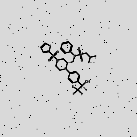 CC(C)CS(=O)(=O)N(C[C@H]1CN(S(=O)(=O)c2cccs2)CCN1c1ccc([C@@](C)(O)C(F)(F)F)cc1)c1ccccc1